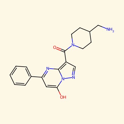 NCC1CCN(C(=O)c2cnn3c(O)cc(-c4ccccc4)nc23)CC1